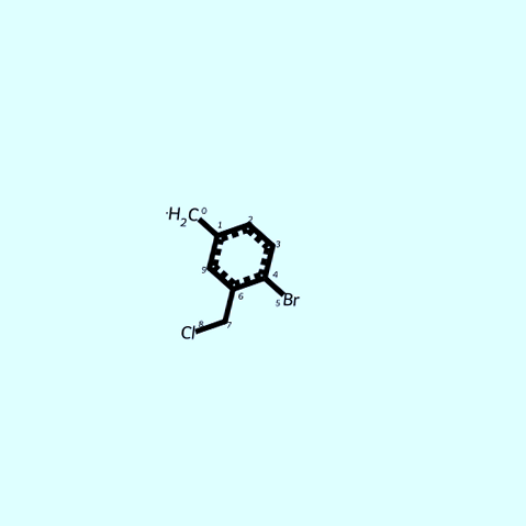 [CH2]c1ccc(Br)c(CCl)c1